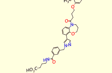 Cc1c(Cl)cccc1OCCCC(=O)N1CCCOc2c(-c3cnn(Cc4cccc(C(=O)NCCCC(=O)O)c4)c3)cccc21